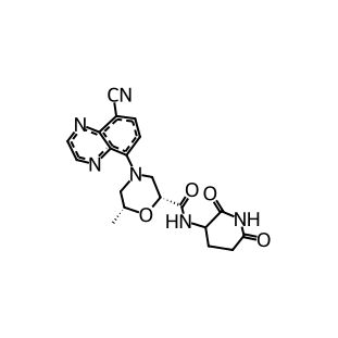 C[C@@H]1CN(c2ccc(C#N)c3nccnc23)C[C@H](C(=O)NC2CCC(=O)NC2=O)O1